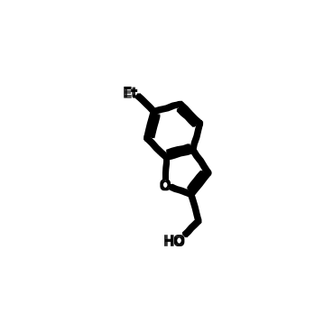 CCc1ccc2cc(CO)oc2c1